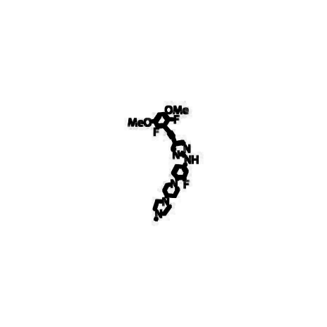 COc1cc(OC)c(F)c(C#Cc2cnc(Nc3ccc(N4CCC(N5CCN(C)CC5)CC4)c(F)c3)nc2)c1F